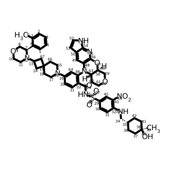 Cc1ccccc1[C@@H]1COCCN1C1CC2(CCN(c3ccc(C(=O)NS(=O)(=O)c4ccc(NC[C@H]5CC[C@](C)(O)CC5)c([N+](=O)[O-])c4)c(N4c5cc6cc[nH]c6nc5O[C@H]5COCC[C@@H]54)c3)CC2)C1